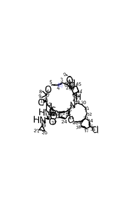 CO[C@H]1/C=C/COC(C)(C)C(=O)N=[S@@](=O)(NC(=O)NC2CC2)c2ccc3c(c2)N(CCCCc2cc(Cl)ccc2CO3)C[C@@H]2CC[C@H]21